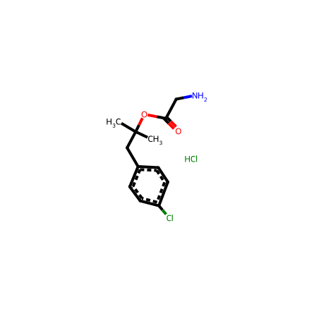 CC(C)(Cc1ccc(Cl)cc1)OC(=O)CN.Cl